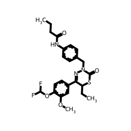 CCCC(=O)Nc1ccc(CN2N=C(c3ccc(OC(F)F)c(OC)c3)C(CC)SC2=O)cc1